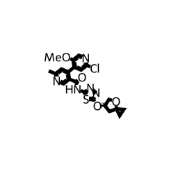 COc1cnc(Cl)cc1-c1cc(C)ncc1C(=O)Nc1nnc(O[C@H]2COC3(CC3)C2)s1